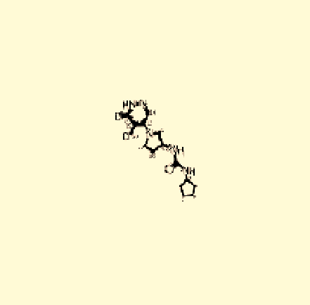 O=C(NC1CCCC1)NC1CCN(c2cn[nH]c(=O)c2Cl)C1